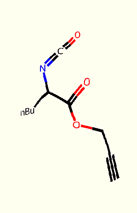 C#CCOC(=O)C(CCCC)N=C=O